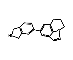 c1cc2c(cc1-c1cc3c4c(ccn4CCC3)c1)CNC2